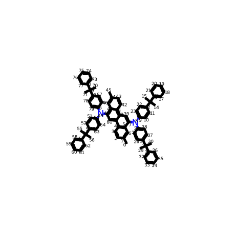 Cc1ccc2c(c1)c(N(c1ccc(C(C)(C)c3ccccc3)cc1)c1ccc(C(C)(C)c3ccccc3)cc1)cc1c3ccc(C)cc3c(N(c3ccc(C(C)(C)c4ccccc4)cc3)c3ccc(C(C)(C)c4ccccc4)cc3)cc21